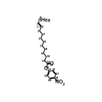 CCCCCC/C=C/CCCCCCCCCC(=O)Oc1ccc([N+](=O)[O-])cc1